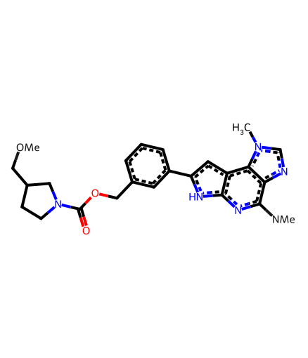 CNc1nc2[nH]c(-c3cccc(COC(=O)N4CCC(COC)C4)c3)cc2c2c1ncn2C